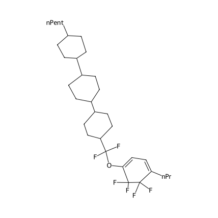 CCCCCC1CCC(C2CCC(C3CCC(C(F)(F)OC4=CC=C(CCC)C(F)(F)C4(F)F)CC3)CC2)CC1